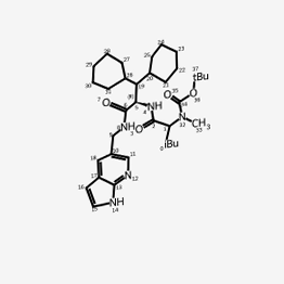 CCC(C)C(C(=O)N[C@@H](C(=O)NCc1cnc2[nH]ccc2c1)C(C1CCCCC1)C1CCCCC1)N(C)C(=O)OC(C)(C)C